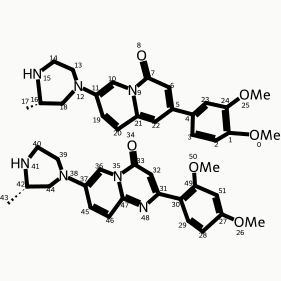 COc1ccc(-c2cc(=O)n3cc(N4CCN[C@@H](C)C4)ccc3c2)cc1OC.COc1ccc(-c2cc(=O)n3cc(N4CCN[C@@H](C)C4)ccc3n2)c(OC)c1